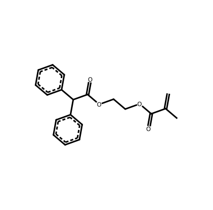 C=C(C)C(=O)OCCOC(=O)C(c1ccccc1)c1ccccc1